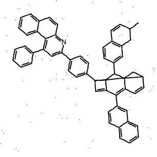 CC1C=Cc2ccc(C3C4CC5C=CC4=C(c4ccc6ccccc6c4)C4=CC5(c5ccc(-c6cc(-c7ccccc7)c7c(ccc8ccccc87)n6)cc5)C43)cc2C1